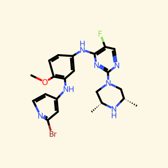 COc1ccc(Nc2nc(N3C[C@@H](C)N[C@@H](C)C3)ncc2F)cc1Nc1ccnc(Br)c1